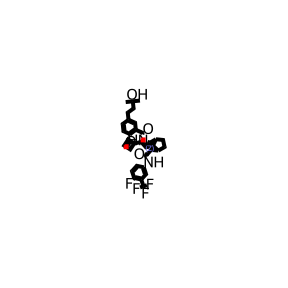 COc1ccc(CCC(C)(C)O)cc1C(=O)NC1C2CCC(/C2=C/CC2CCC2)C1C(=O)Nc1ccc(F)c(C(F)(F)F)c1